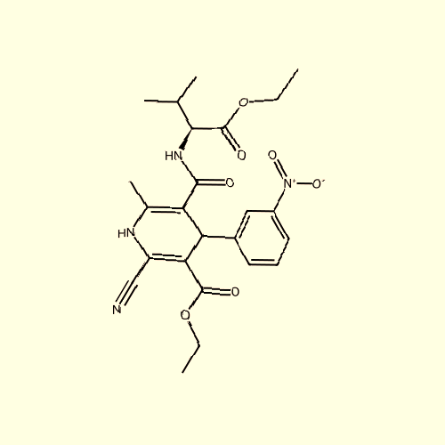 CCOC(=O)C1=C(C#N)NC(C)=C(C(=O)N[C@H](C(=O)OCC)C(C)C)C1c1cccc([N+](=O)[O-])c1